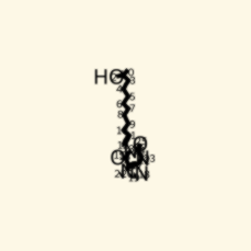 CC(O)CCCCCCCCC=Cn1c(=O)c2c(ncn2C)n(C)c1=O